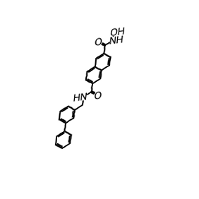 O=C(NO)c1ccc2cc(C(=O)NCc3cccc(-c4ccccc4)c3)ccc2c1